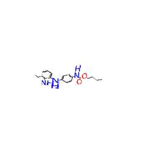 CCCCOC(=O)Nc1ccc(Nc2cccc(CC)c2N)cc1